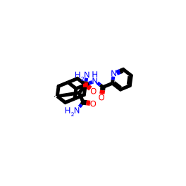 NC(=O)C1C2C[C]3CC1CC(NC(=O)c1ccccn1)(C2)C3C(N)=O